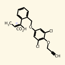 C#CCOc1c(Cl)cc(OCc2ccccc2/C(=C\C)C(=O)O)cc1Cl